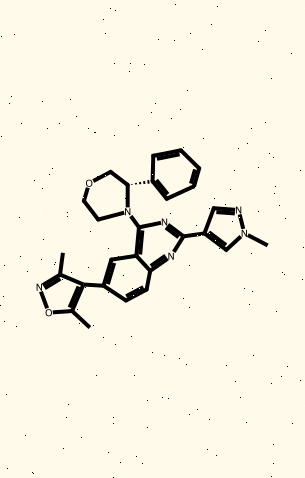 Cc1noc(C)c1-c1ccc2nc(-c3cnn(C)c3)nc(N3CCOC[C@@H]3c3ccccc3)c2c1